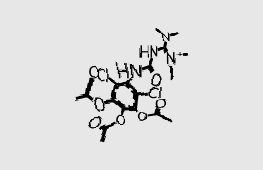 CC(=O)Oc1c(Cl)c(NC(=O)NC(N(C)C)=[N+](C)C)c(Cl)c(OC(C)=O)c1OC(C)=O